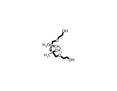 C[Si](C)(COCCO)O[Si](C)(C)COCCO